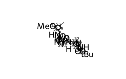 COc1cc(C)cc(CNc2cnc3n(c2=O)[C@H](C(=O)NCc2ccc(NC(=O)OC(C)(C)C)nc2C)CC3)c1